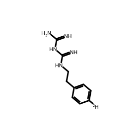 [2H]c1ccc(CCNC(=N)NC(=N)N)cc1